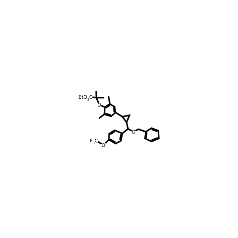 CCOC(=O)C(C)(C)Oc1c(C)cc(C2CC2C(OCc2ccccc2)c2ccc(OC(F)(F)F)cc2)cc1C